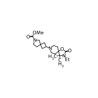 CCN1C(=O)OC2(CCN(C3CC4(CCN(C(=O)OC)C4)C3)CC2)C1(C)C